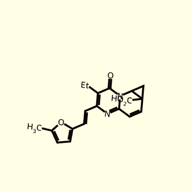 CCc1c(/C=C/c2ccc(C)o2)nc2n(c1=O)C1CC1(C(=O)O)C=C2